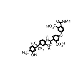 CNC(=O)c1ccc(Oc2ccc(C(=O)Nc3ccc(C(c4ccc(C)c(O)c4)(C(F)(F)F)C(F)(F)F)cc3O)c(C(=O)O)c2)cc1C(=O)O